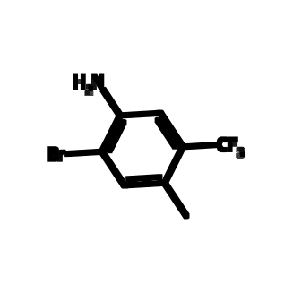 Cc1cc(Br)c(N)cc1C(F)(F)F